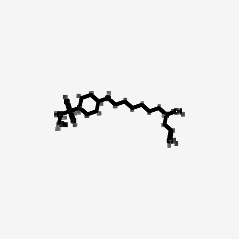 C=CCN(C)CCCCCCOC1CCN(S(=O)(=O)NCCCC)CC1